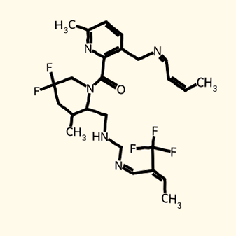 C/C=C\C=N/Cc1ccc(C)nc1C(=O)N1CC(F)(F)CC(C)C1CNC/N=C\C(=C/C)C(F)(F)F